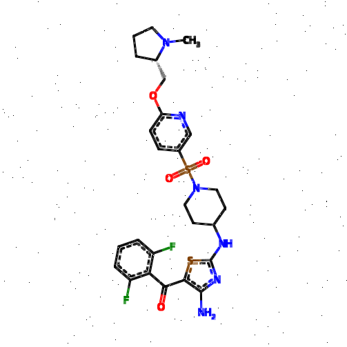 CN1CCC[C@H]1COc1ccc(S(=O)(=O)N2CCC(Nc3nc(N)c(C(=O)c4c(F)cccc4F)s3)CC2)cn1